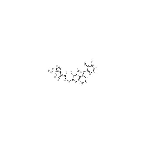 Cc1c2c(cc3c1N(Cc1cccc(F)c1F)CCO3)CCN(C(=O)OC(C)(C)C)CC2